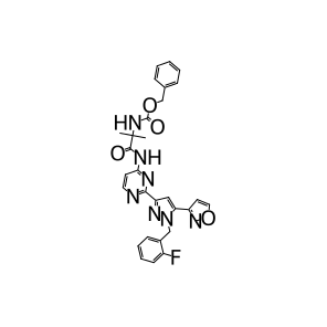 CC(C)(NC(=O)OCc1ccccc1)C(=O)Nc1ccnc(-c2cc(-c3ccon3)n(Cc3ccccc3F)n2)n1